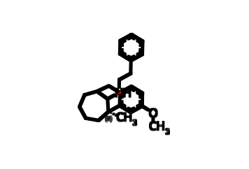 COc1ccc2c(c1)[C@@]1(C)CCCCC(C2)C1NCCc1ccccc1